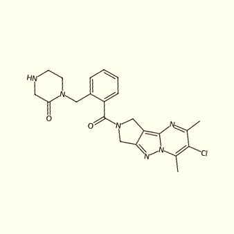 Cc1nc2c3c(nn2c(C)c1Cl)CN(C(=O)c1ccccc1CN1CCNCC1=O)C3